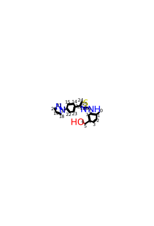 Cc1ccc(CO)cc1Nc1nc(-c2ccc(-n3cccn3)cc2)cs1